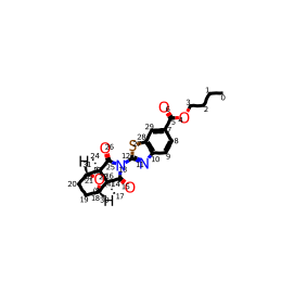 CCCCOC(=O)c1ccc2nc(N3C(=O)[C@@]4(C)[C@@H]5CC[C@@H](O5)[C@@]4(C)C3=O)sc2c1